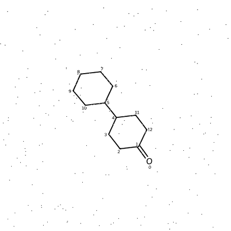 O=C1CCC(C2CC[CH]CC2)CC1